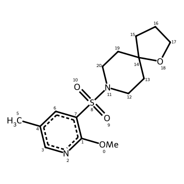 COc1ncc(C)cc1S(=O)(=O)N1CCC2(CCCO2)CC1